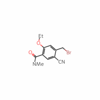 CCOc1cc(CBr)c(C#N)cc1C(=O)NC